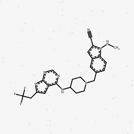 CNn1c(C#N)cc2cc(CN3CCC(Nc4ncnc5sc(CC(F)(F)F)cc45)CC3)ccc21